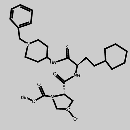 CC(C)(C)OC(=O)N1C[S+]([O-])C[C@H]1C(=O)N[C@H](CCC1CCCCC1)C(=S)NC1CCN(Cc2ccccc2)CC1